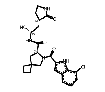 N#C[C@H](C[C@@H]1CCNC1=O)NC(=O)[C@@H]1CC2(CCC2)CN1C(=O)c1cc2cccc(Cl)c2[nH]1